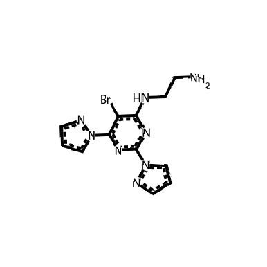 NCCNc1nc(-n2cccn2)nc(-n2cccn2)c1Br